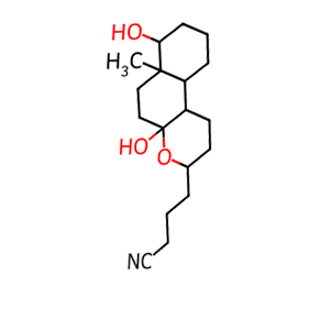 CC12CCC3(O)OC(CCCC#N)CCC3C1CCCC2O